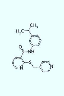 CC(C)c1cccc(NC(=O)c2cccnc2SCc2ccncc2)c1